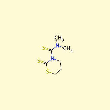 CN(C)C(=S)N1CCCSC1=S